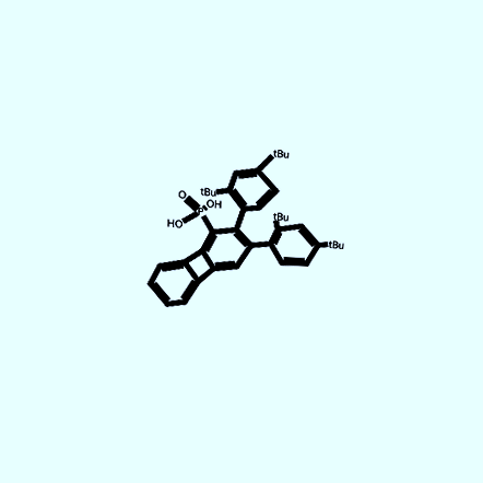 CC(C)(C)c1ccc(-c2cc3c(c(P(=O)(O)O)c2-c2ccc(C(C)(C)C)cc2C(C)(C)C)-c2ccccc2-3)c(C(C)(C)C)c1